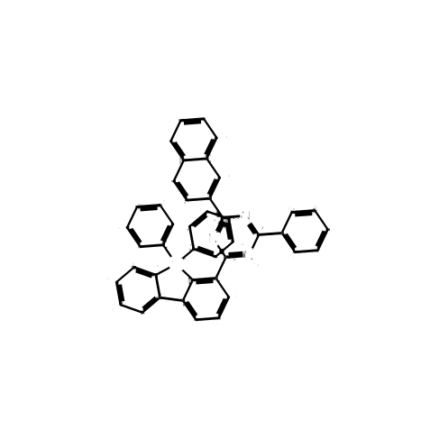 c1ccc(-c2nc(-c3ccc4ccccc4c3)nc(-c3cccc4c3[Si](c3ccccc3)(c3ccccc3)c3ccccc3-4)n2)cc1